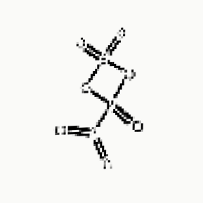 O=P(=O)P1(=O)OS(=O)(=O)O1